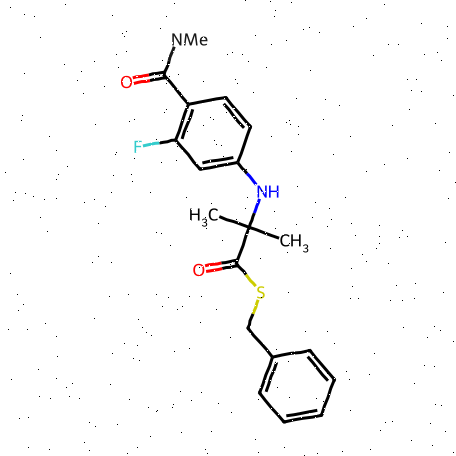 CNC(=O)c1ccc(NC(C)(C)C(=O)SCc2ccccc2)cc1F